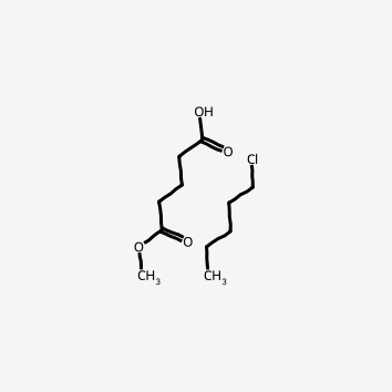 CCCCCCl.COC(=O)CCCC(=O)O